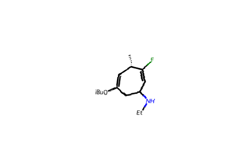 CCNC1C=C(F)[C@@H](C)C=C(OCC(C)C)C1